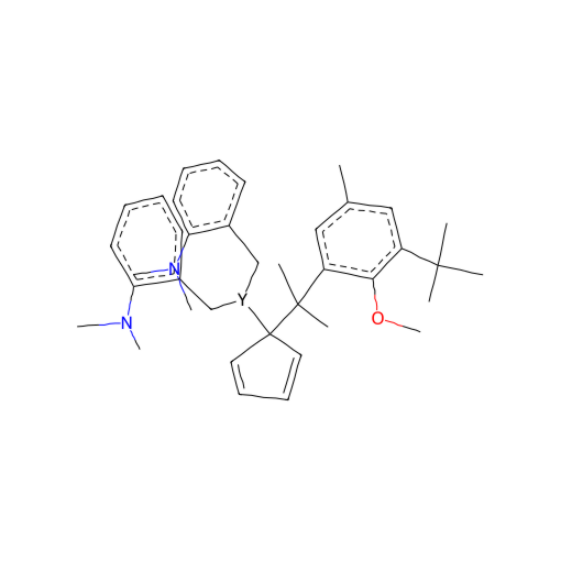 COc1c(C(C)(C)C)cc(C)cc1C(C)(C)[C]1([Y]([CH2]c2ccccc2N(C)C)[CH2]c2ccccc2N(C)C)C=CC=C1